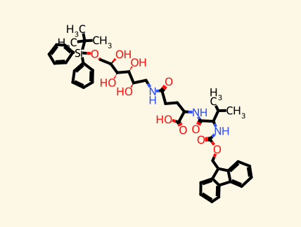 CC(C)C(NC(=O)OCC1c2ccccc2-c2ccccc21)C(=O)NC(CCC(=O)NC[C@H](O)[C@@H](O)[C@H](O)[C@H](O)CO[Si](c1ccccc1)(c1ccccc1)C(C)(C)C)C(=O)O